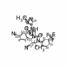 CC1=C(C#N)[C@@H](c2ccc(C#N)cc2S(=O)(=O)Nc2cnn(C)c2)NC(=O)N1c1cccc(C(F)(F)F)c1